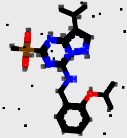 CC(C)Oc1ccccc1CNc1nc(S(C)(=O)=O)nc2c(C(C)C)cnn12